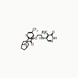 C[C@@H](CONC(=O)CN1C2CCC1CN(c1ncc(C(F)(F)F)cn1)C2)Nc1cn[nH]c(=O)c1C(F)(F)F